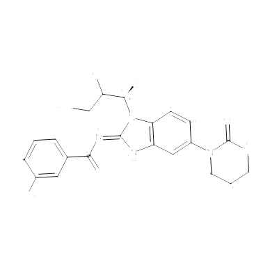 CC(CO)[C@@H](C)n1/c(=N/C(=O)c2cccc(C(F)(F)F)c2)[nH]c2cc(N3CCCOC3=O)ccc21